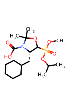 COP(=O)(OC(C)C)C1OC(C)(C)N(C(=O)O)[C@H]1CC1CCCCC1